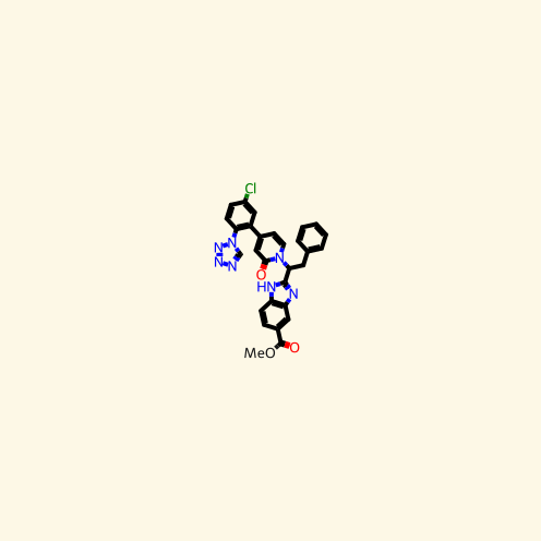 COC(=O)c1ccc2[nH]c(C(Cc3ccccc3)n3ccc(-c4cc(Cl)ccc4-n4cnnn4)cc3=O)nc2c1